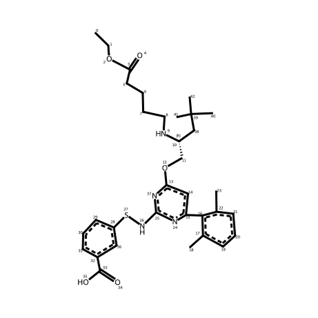 CCOC(=O)CCCCN[C@@H](COc1cc(-c2c(C)cccc2C)nc(NSc2cccc(C(=O)O)c2)n1)CC(C)(C)C